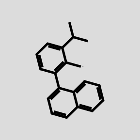 [CH2]c1c(-c2cccc3ccccc23)cccc1C(C)C